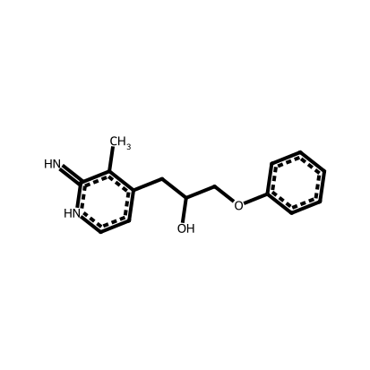 Cc1c(CC(O)COc2ccccc2)cc[nH]c1=N